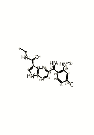 CCNC(=O)c1c[nH]c2ncc(C(=N)c3ccc(Cl)cc3NC)nc12